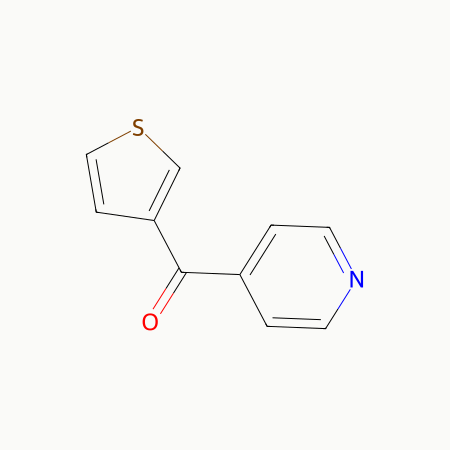 O=C(c1ccncc1)c1ccsc1